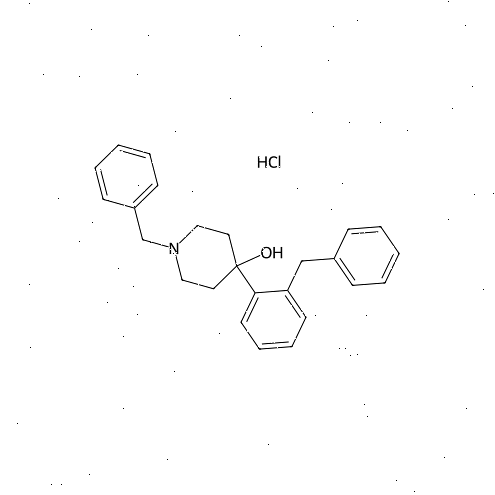 Cl.OC1(c2ccccc2Cc2ccccc2)CCN(Cc2ccccc2)CC1